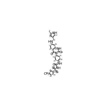 Cc1nc(CNc2ccc3c(=O)n(-c4ccc(NC(=O)NS(=O)(=O)c5ccc(Cl)s5)cc4)c(=O)[nH]c3c2)c[nH]1